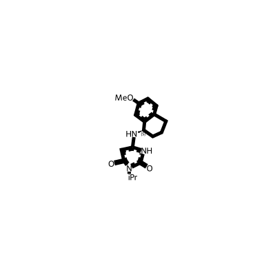 COc1ccc2c(c1)[C@@H](Nc1cc(=O)n(C(C)C)c(=O)[nH]1)CCC2